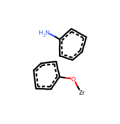 Nc1ccccc1.[Zr][O]c1ccccc1